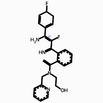 C=C(c1ccccc1C(=N)/C(F)=C(\N)C1=CCC(F)C=C1)N(CCO)Cc1ccccn1